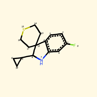 Fc1ccc2c(c1)NC(C1CC1)C21CCSCC1